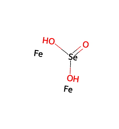 O=[Se](O)O.[Fe].[Fe]